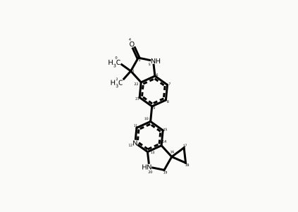 CC1(C)C(=O)Nc2ccc(-c3cnc4c(c3)C3(CC3)CN4)cc21